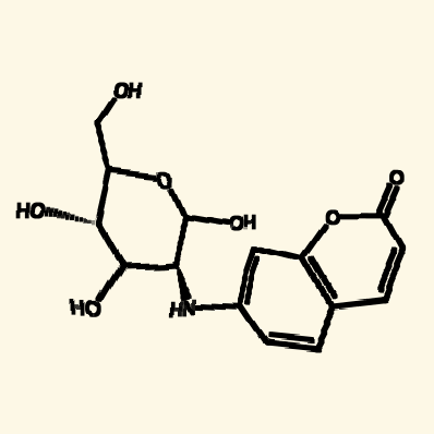 O=c1ccc2ccc(N[C@@H]3C(O)OC(CO)[C@@H](O)C3O)cc2o1